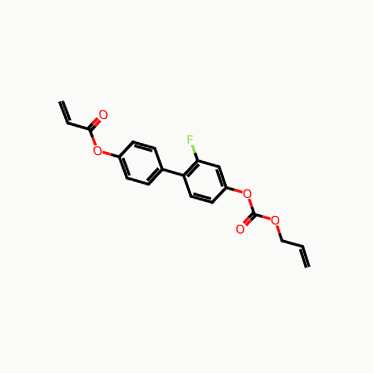 C=CCOC(=O)Oc1ccc(-c2ccc(OC(=O)C=C)cc2)c(F)c1